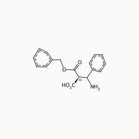 NC(c1ccccc1)[C@@H](C(=O)O)C(=O)OCc1ccccc1